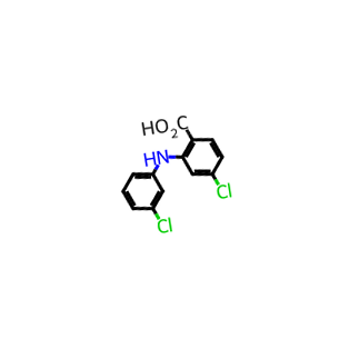 O=C(O)c1ccc(Cl)cc1Nc1cccc(Cl)c1